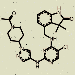 CC(=O)N1CCC(n2cc(Nc3ncc(Cl)c(NCc4cccc5c4C(C)(C)C(=O)N5)n3)cn2)CC1